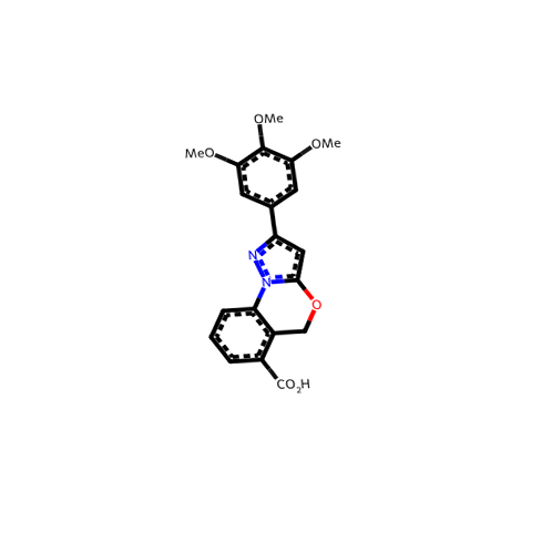 COc1cc(-c2cc3n(n2)-c2cccc(C(=O)O)c2CO3)cc(OC)c1OC